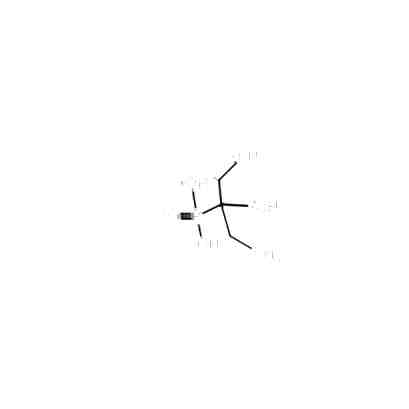 CCC([AsH2])(CC)P(=O)(O)O